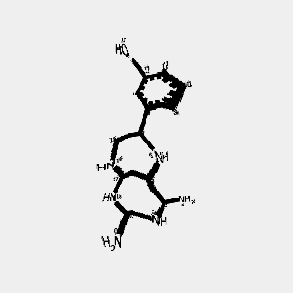 NC1NC(N)C2NC(c3cccc(O)c3)CNC2N1